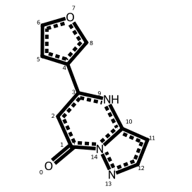 O=c1cc(-c2ccoc2)[nH]c2ccnn12